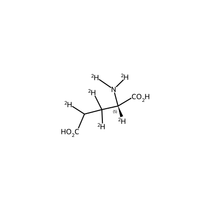 [2H]C(C(=O)O)C([2H])([2H])[C@@]([2H])(C(=O)O)N([2H])[2H]